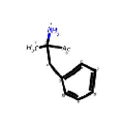 CC(=O)C(C)(N)Cc1ccccc1